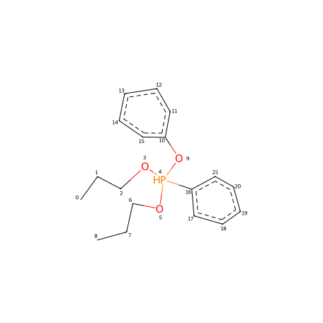 CCCO[PH](OCCC)(Oc1ccccc1)c1ccccc1